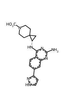 Nc1nc(N[C@H]2CC23CCN(C(=O)O)CC3)c2ccc(-c3cc[nH]n3)cc2n1